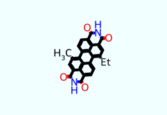 CCc1cc2c3c(ccc4c5c(C)cc6c7c(ccc(c1c34)c75)C(=O)NC6=O)C(=O)NC2=O